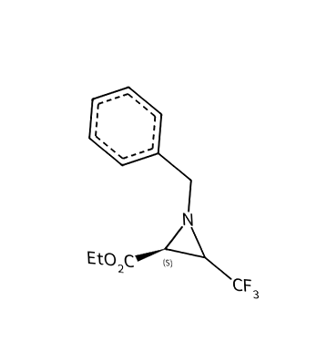 CCOC(=O)[C@@H]1C(C(F)(F)F)N1Cc1ccccc1